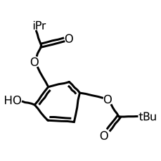 CC(C)C(=O)Oc1cc(OC(=O)C(C)(C)C)ccc1O